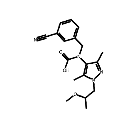 COC(C)Cn1nc(C)c(N(Cc2cccc(C#N)c2)C(=O)O)c1C